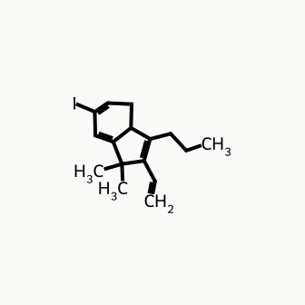 C=CC1=C(CCC)C2CC=C(I)C=C2C1(C)C